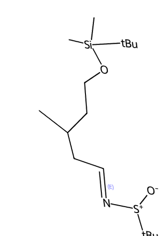 CC(C/C=N/[S+]([O-])C(C)(C)C)CCO[Si](C)(C)C(C)(C)C